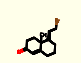 CC12CCC(=O)C=C1CCCC2=CCBr